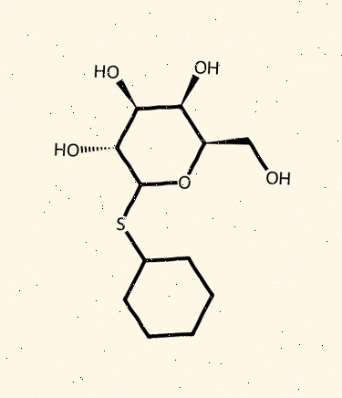 OC[C@H]1OC(SC2CCCCC2)[C@H](O)[C@@H](O)[C@H]1O